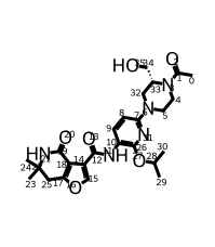 CC(=O)N1CCN(c2ccc(NC(=O)c3coc4c3C(=O)NC(C)(C)C4)c(OC(C)C)n2)C[C@@H]1CO